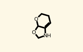 C1=C2NCOC2OCC1